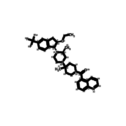 CCO[C@@H]1Cc2cc(C(F)(F)F)ccc2[C@H]1N1CCN(C2(C)CCN(C(=O)c3cccc4ncccc34)CC2)C[C@@H]1C